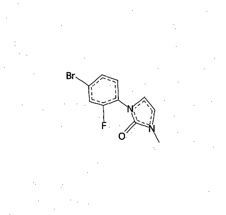 Cn1ccn(-c2ccc(Br)cc2F)c1=O